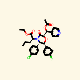 CCC[C@@H](C(=O)OCC)N1C(=O)[C@@H](C(OC(C)=O)c2ccncc2)O[C@H](c2ccc(Cl)cc2)[C@@H]1c1ccc(Cl)cc1